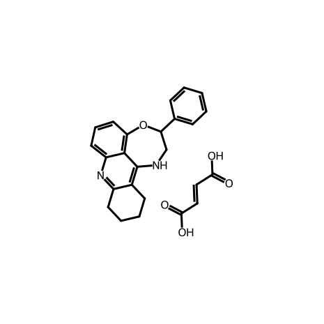 O=C(O)C=CC(=O)O.c1ccc(C2CNc3c4c(nc5cccc(c35)O2)CCCC4)cc1